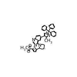 Cc1nn(C(c2ccccc2)(c2ccccc2)c2ccccc2)cc1-c1ccc2ncnc(N3CC[CH]CC3c3ccc(S(C)(=O)=O)s3)c2c1